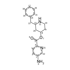 Nc1ccc(C(=O)OC2CCNC(Cc3ccccc3)C2)nc1